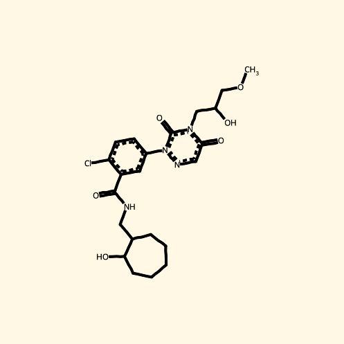 COCC(O)Cn1c(=O)cnn(-c2ccc(Cl)c(C(=O)NCC3CCCCCC3O)c2)c1=O